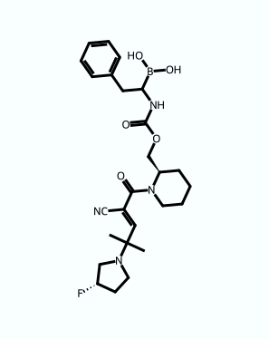 CC(C)(C=C(C#N)C(=O)N1CCCC[C@@H]1COC(=O)NC(Cc1ccccc1)B(O)O)N1CC[C@H](F)C1